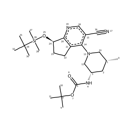 C[C@@H]1C[C@H](NC(=O)OC(C)(C)C)CN(c2c(C#N)cnc3c2CC[C@H]3O[Si](C)(C)C(C)(C)C)C1